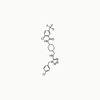 O=C(NC1CCC(CNc2nnnn2Cc2ccc(Cl)cc2)CC1)c1cc(C(F)(F)F)ccc1Cl